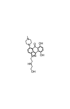 CN1CCN(c2ccc3c4c(nn3CCNCCO)-c3c(O)ccc(O)c3C(=O)c24)CC1